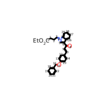 CCOC(=O)CCCn1cc(C(=O)C=Cc2ccc(OCc3ccccc3)cc2)c2ccccc21